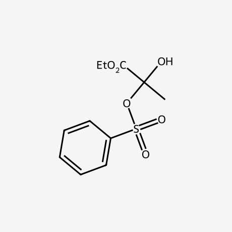 CCOC(=O)C(C)(O)OS(=O)(=O)c1ccccc1